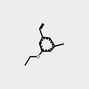 C=Cc1cc(I)cc(OCC)c1